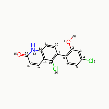 COc1cc(Cl)ccc1-c1ccc2[nH]c(=O)ccc2c1Cl